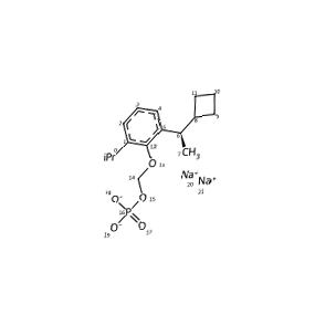 CC(C)c1cccc([C@H](C)C2CCC2)c1OCOP(=O)([O-])[O-].[Na+].[Na+]